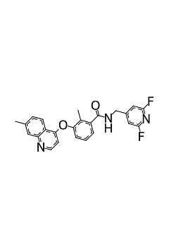 Cc1ccc2c(Oc3cccc(C(=O)NCc4cc(F)nc(F)c4)c3C)ccnc2c1